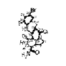 COC(C(N)=O)C1CCn2c1c(C(=O)O)c(Nc1ccc(Br)cc1F)c(C)c2=O